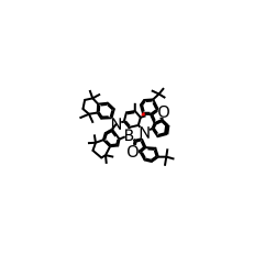 CC1=CC2=C3B(c4cc5c(cc4N2c2ccc4c(c2)C(C)(C)CCC4(C)C)C(C)(C)CCC5(C)C)c2oc4ccc(C(C)(C)C)cc4c2N(c2cc#cc4oc5c(C(C)(C)C)cccc5c24)C3C1C